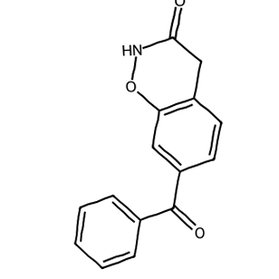 O=C1Cc2ccc(C(=O)c3ccccc3)cc2ON1